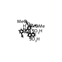 C#Cc1cccc(Nc2ncnc3cc(OCCOC)c(OCCOC)cc23)c1.O=S(=O)(O)c1cccc2c(S(=O)(=O)O)cccc12